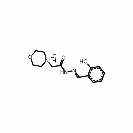 C[N+]1(CC(=O)N/N=C/c2ccccc2O)CCOCC1